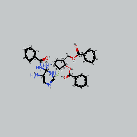 NC1=CN=CNC1(NC(=O)c1ccccc1)N[C@@H]1C[C@H](COC(=O)c2ccccc2)[C@@H](OC(=O)c2ccccc2)[C@@H]1F